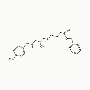 O=C(CCCOCC(O)CNCc1ccc([N+](=O)[O-])cc1)OCc1ccccc1